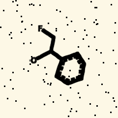 [O]C(CF)c1ccccc1